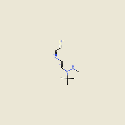 CNN(/C=C/N=C\C=N)C(C)(C)C